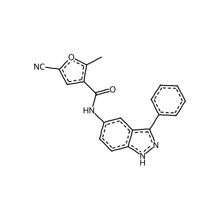 Cc1oc(C#N)cc1C(=O)Nc1ccc2[nH]nc(-c3ccccc3)c2c1